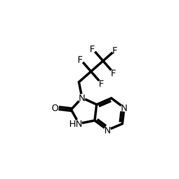 O=c1[nH]c2ncncc2n1CC(F)(F)C(F)(F)F